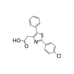 O=C(O)Cc1nc(-c2ccc(Cl)cc2)sc1-c1ccccc1